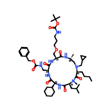 CCCC[C@H]1C(=O)N(C)[C@@H](CC(C)C)C(=O)N[C@@H](C2CCCCC2)C(=O)N[C@@H](CNC(=O)OCc2ccccc2)C(=O)N[C@@H](COCCCNC(=O)OC(C)(C)C)C(=O)N[C@H](C)CN1CC1CC1